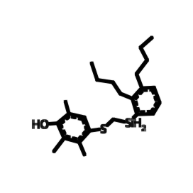 CCCCc1cccc([SiH2]CSc2cc(C)c(O)c(C)c2C)c1CCCC